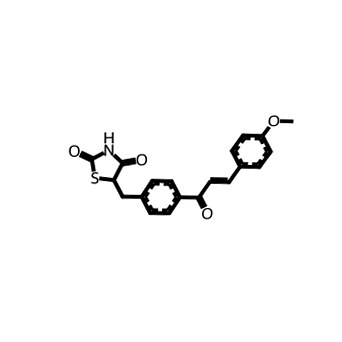 COc1ccc(C=CC(=O)c2ccc(CC3SC(=O)NC3=O)cc2)cc1